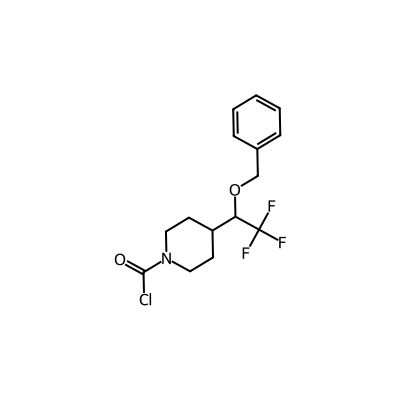 O=C(Cl)N1CCC(C(OCc2ccccc2)C(F)(F)F)CC1